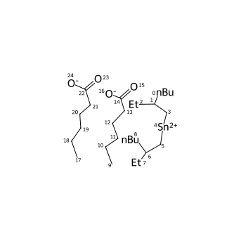 CCCCC(CC)[CH2][Sn+2][CH2]C(CC)CCCC.CCCCCC(=O)[O-].CCCCCC(=O)[O-]